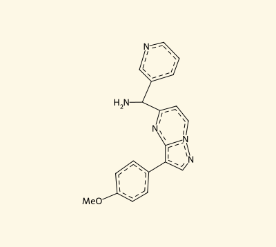 COc1ccc(-c2cnn3ccc(C(N)c4cccnc4)nc23)cc1